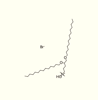 CCCCCCCCCCCCCCOCC(CCC[N+](C)(C)O)OCCCCCCCCCCCCCC.[Br-]